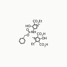 CCOC(=O)c1c(O)c(NC(=O)OCc2ccccc2)cn1C.CCc1c(C(=O)O)c(O)c(C(=O)O)n1C